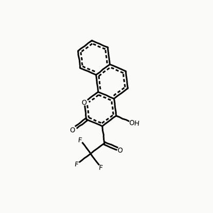 O=C(c1c(O)c2ccc3ccccc3c2oc1=O)C(F)(F)F